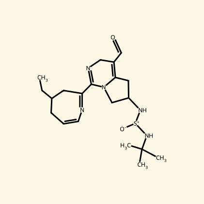 CCC1CC=CN=C(C2=NCC(C=O)=C3CC(N[S+]([O-])NC(C)(C)C)CN23)C1